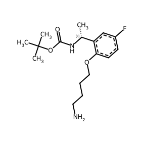 C[C@@H](NC(=O)OC(C)(C)C)c1cc(F)ccc1OCCCCN